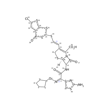 Nc1nc(/C(=N/OC2CCCC2)C(=O)NC2C(=O)N3C(C(=O)O)=C(/C=C/Sc4cc(=O)c5cc(Cl)sc5s4)CS[C@H]23)cs1